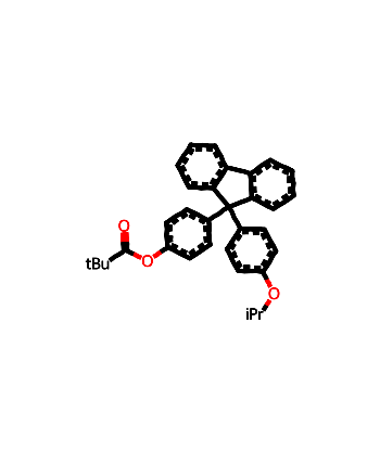 CC(C)Oc1ccc(C2(c3ccc(OC(=O)C(C)(C)C)cc3)c3ccccc3-c3ccccc32)cc1